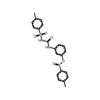 Cc1ccc(S(=O)Oc2cccc(NC(=O)NS(=O)(=O)c3ccc(C)cc3)c2)cc1